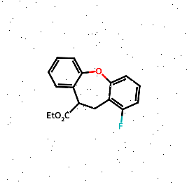 CCOC(=O)C1Cc2c(F)cccc2Oc2ccccc21